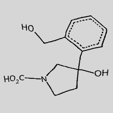 O=C(O)N1CCC(O)(c2ccccc2CO)C1